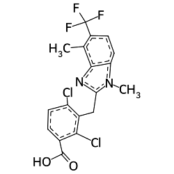 Cc1c(C(F)(F)F)ccc2c1nc(Cc1c(Cl)ccc(C(=O)O)c1Cl)n2C